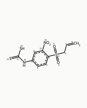 C=CCS(=O)(=O)c1ccc(NC(=S)S)cc1[N+](=O)[O-]